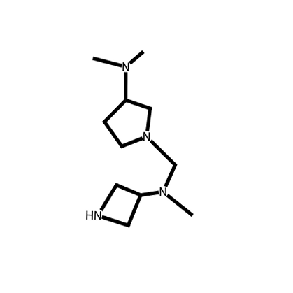 CN(C)C1CCN(CN(C)C2CNC2)C1